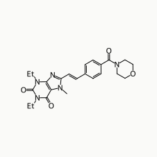 CCn1c(=O)c2c(nc(C=Cc3ccc(C(=O)N4CCOCC4)cc3)n2C)n(CC)c1=O